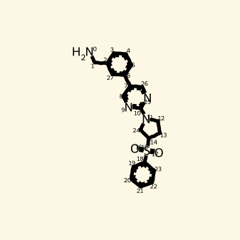 NCc1cccc(-c2cnc(N3CCC(S(=O)(=O)c4ccccc4)C3)nc2)c1